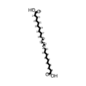 O=C(O)CCCCCCCCCSSSSCCCCCCCCCC(=O)O